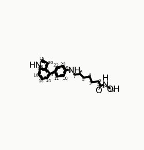 O=C(CCCCCCNc1ccc(-c2cccc3[nH]ccc23)cc1)NO